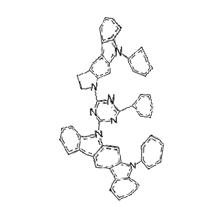 c1ccc(-c2nc(N3CCc4cc5c6ccccc6n(-c6ccccc6)c5cc43)nc(-n3c4ccccc4c4cc5c6ccccc6n(-c6ccccc6)c5cc43)n2)cc1